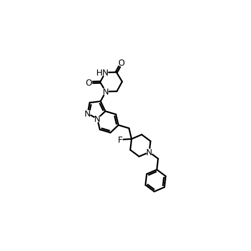 O=C1CCN(c2cnn3ccc(CC4(F)CCN(Cc5ccccc5)CC4)cc23)C(=O)N1